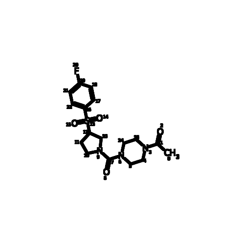 CC(=O)N1CCN(C(=O)N2CCC(S(=O)(=O)c3ccc(F)cc3)C2)CC1